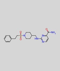 NC(=O)c1ccnc(NCC2CCN(S(=O)(=O)CCc3ccccc3)CC2)n1